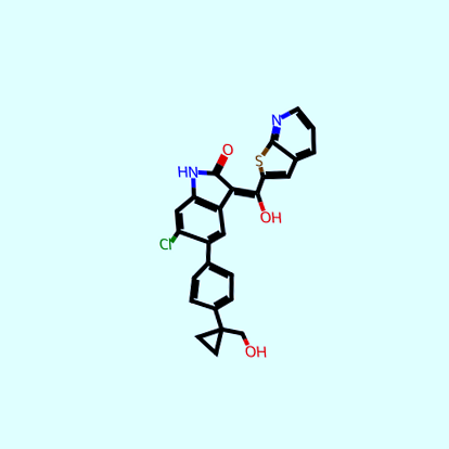 O=C1Nc2cc(Cl)c(-c3ccc(C4(CO)CC4)cc3)cc2C1=C(O)c1cc2cccnc2s1